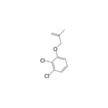 C=C(C)COc1cccc(Cl)c1Cl